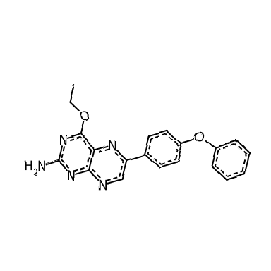 CCOc1nc(N)nc2ncc(-c3ccc(Oc4ccccc4)cc3)nc12